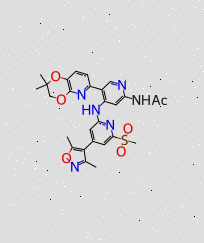 CC(=O)Nc1cc(Nc2cc(-c3c(C)noc3C)cc(S(C)(=O)=O)n2)c(-c2ccc3c(n2)OCC(C)(C)O3)cn1